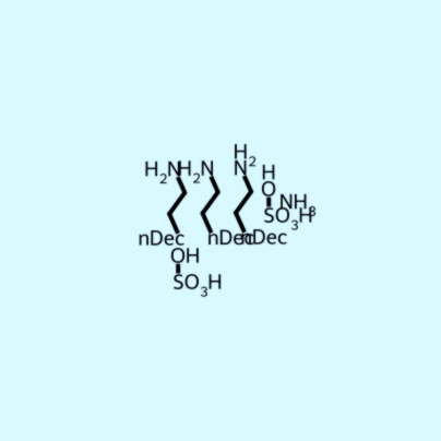 CCCCCCCCCCCCN.CCCCCCCCCCCCN.CCCCCCCCCCCCN.N.O=S(=O)(O)O.O=S(=O)(O)O